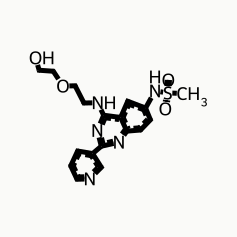 CS(=O)(=O)Nc1ccc2nc(-c3cccnc3)nc(NCCOCCO)c2c1